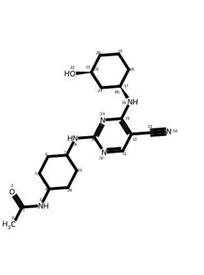 CC(=O)NC1CCC(Nc2ncc(C#N)c(N[C@@H]3CCC[C@H](O)C3)n2)CC1